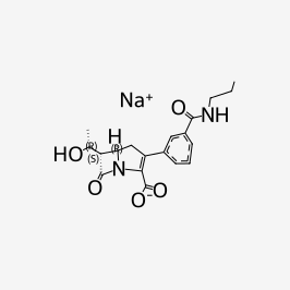 CCCNC(=O)c1cccc(C2=C(C(=O)[O-])N3C(=O)[C@H]([C@@H](C)O)[C@H]3C2)c1.[Na+]